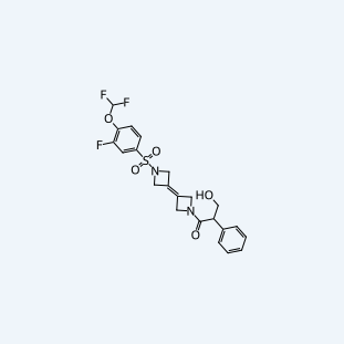 O=C(C(CO)c1ccccc1)N1CC(=C2CN(S(=O)(=O)c3ccc(OC(F)F)c(F)c3)C2)C1